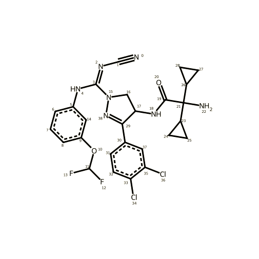 N#CN=C(Nc1cccc(OC(F)F)c1)N1CC(NC(=O)C(N)(C2CC2)C2CC2)C(c2ccc(Cl)c(Cl)c2)=N1